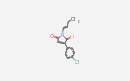 CCC=CN1C(=O)C=C(c2ccc(Cl)cc2)C1=O